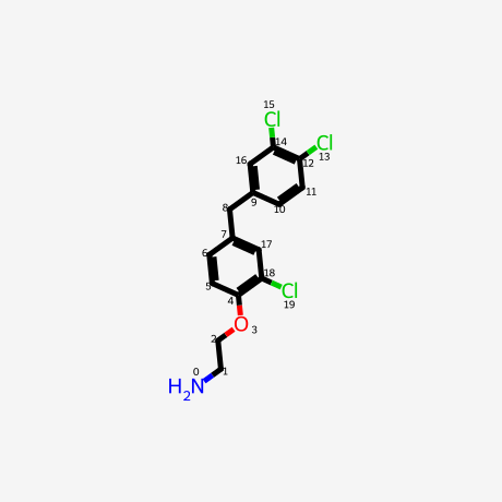 NCCOc1ccc(Cc2ccc(Cl)c(Cl)c2)cc1Cl